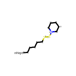 CCCCCCCCCCCCSSN1CCCCC1